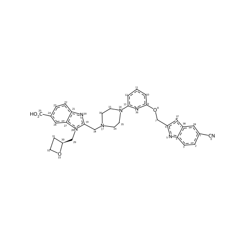 N#Cc1ccc2nc(COc3cccc(N4CCN(Cc5nc6ccc(C(=O)O)cc6n5C[C@@H]5CCO5)CC4)n3)sc2c1